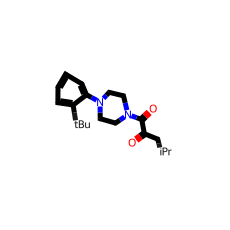 CC(C)CC(=O)C(=O)N1CCN(c2ccccc2C(C)(C)C)CC1